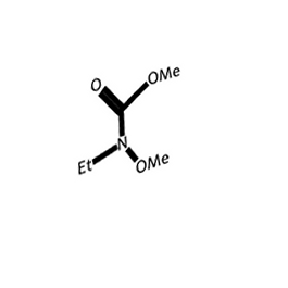 CCN(OC)C(=O)OC